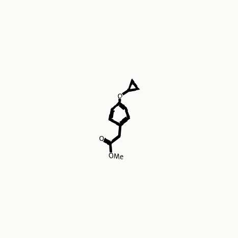 COC(=O)Cc1ccc(OC2CC2)cc1